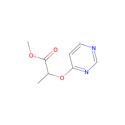 COC(=O)C(C)Oc1c[c]ncn1